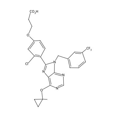 CC1(Oc2ncnc3c2nc(-c2ccc(OCCC(=O)O)cc2Cl)n3Cc2cccc(C(F)(F)F)c2)CC1